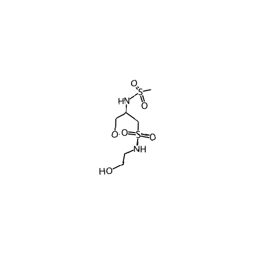 CS(=O)(=O)NC(C[O])CS(=O)(=O)NCCO